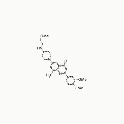 COCCNC1CCN(c2cc(C)c3nc(-c4ccc(OC)c(OC)c4)cc(=O)n3c2)CC1